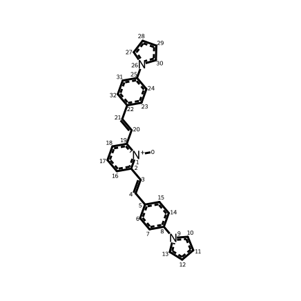 C[n+]1c(/C=C/c2ccc(-n3cccc3)cc2)cccc1/C=C/c1ccc(-n2cccc2)cc1